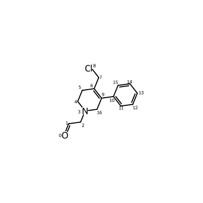 O=CCN1CCC(CCl)=C(c2ccccc2)C1